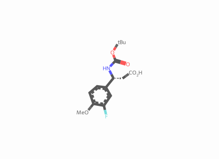 COc1ccc([C@@H](CC(=O)O)NC(=O)OC(C)(C)C)cc1F